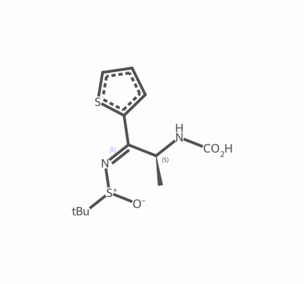 C[C@H](NC(=O)O)/C(=N\[S+]([O-])C(C)(C)C)c1cccs1